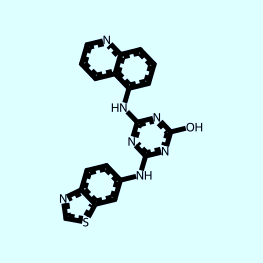 Oc1nc(Nc2ccc3ncsc3c2)nc(Nc2cccc3ncccc23)n1